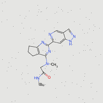 CN(CC(=O)NC(C)(C)C)c1nc(-c2cc3[nH]ncc3cn2)nc2c1CCC2